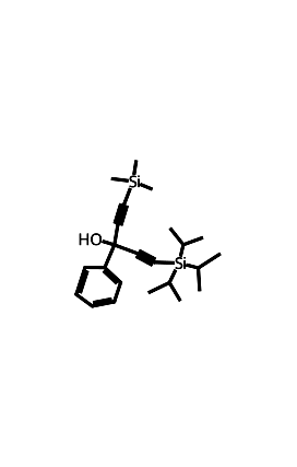 CC(C)[Si](C#CC(O)(C#C[Si](C)(C)C)c1ccccc1)(C(C)C)C(C)C